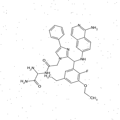 CCOc1cc(CC)cc(C(Nc2ccc3c(N)nccc3c2)c2nc(-c3ccccc3)cn2CC(=O)NC(N)C(N)=O)c1F